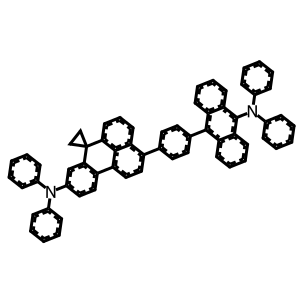 c1ccc(N(c2ccccc2)c2ccc3c(c2)C2(CC2)c2cccc4c(-c5ccc(-c6c7ccccc7c(N(c7ccccc7)c7ccccc7)c7ccccc67)cc5)ccc-3c24)cc1